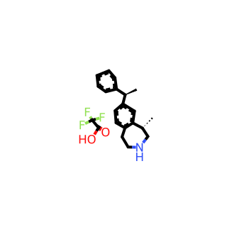 C[C@H](c1ccccc1)c1ccc2c(c1)[C@H](C)CNCC2.O=C(O)C(F)(F)F